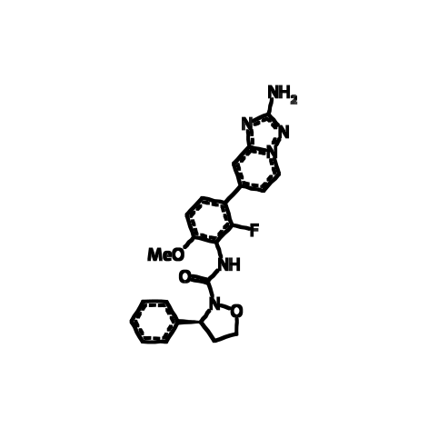 COc1ccc(-c2ccn3nc(N)nc3c2)c(F)c1NC(=O)N1OCC[C@H]1c1ccccc1